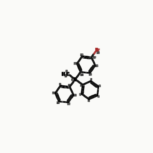 C[Si](c1ccccc1)(c1ccccc1)c1ccc(Br)cc1